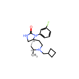 C[C@H]1C[C@]2(CCN1CC1CCC1)CNC(=O)N2c1cccc(F)c1